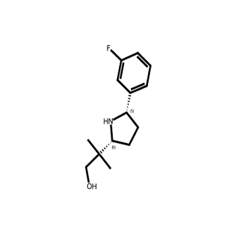 CC(C)(CO)[C@H]1CC[C@@H](c2cccc(F)c2)N1